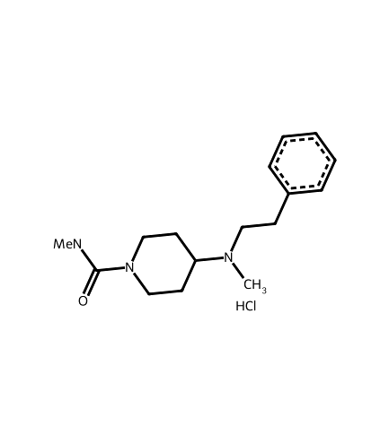 CNC(=O)N1CCC(N(C)CCc2ccccc2)CC1.Cl